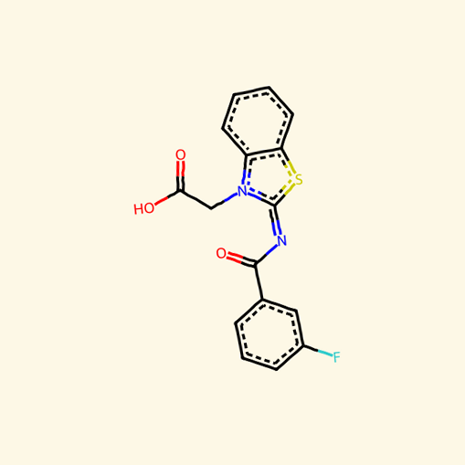 O=C(O)Cn1c(=NC(=O)c2cccc(F)c2)sc2ccccc21